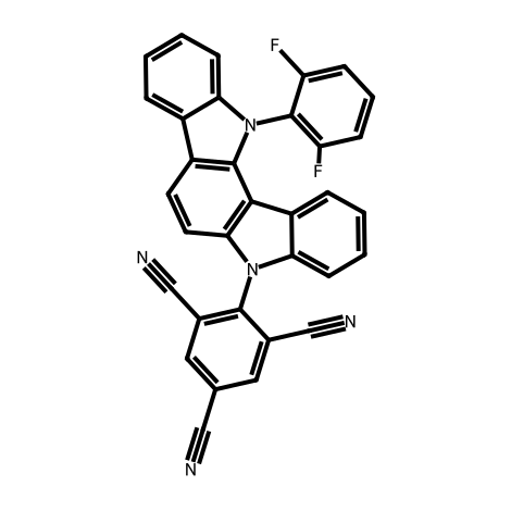 N#Cc1cc(C#N)c(-n2c3ccccc3c3c2ccc2c4ccccc4n(-c4c(F)cccc4F)c23)c(C#N)c1